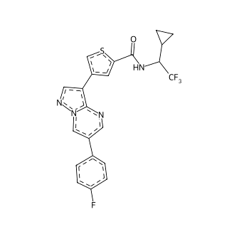 O=C(NC(C1CC1)C(F)(F)F)c1cc(-c2cnn3cc(-c4ccc(F)cc4)cnc23)cs1